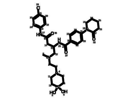 CN(CCN1CCS(O)(O)CC1)CC(CC(=O)Nc1ccc(Cl)cn1)NC(=O)c1ccc(N2CCCCC2=O)cc1